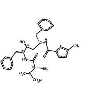 Cc1ccc(C(=O)N[C@@H](Cc2ccccc2)C[C@H](O)[C@H](Cc2ccccc2)NC(=O)[C@@H](N(C)C(=O)O)C(C)(C)C)s1